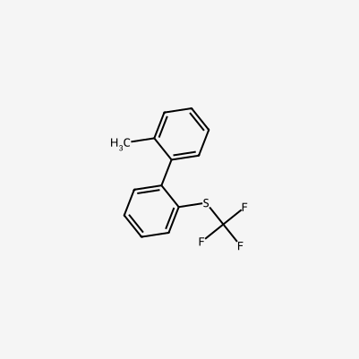 Cc1ccccc1-c1ccccc1SC(F)(F)F